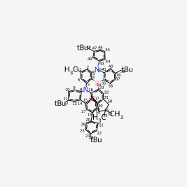 Cc1cc2c3c(c1)N(c1ccc(C(C)(C)C)cc1-c1cccc(-c4ccc(C(C)(C)C)cc4)c1)c1cc4c(cc1B3c1ccc(C(C)(C)C)cc1N2c1cccc(C(C)(C)C)c1)CC(C)(C)C4